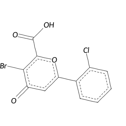 O=C(O)c1oc(-c2ccccc2Cl)cc(=O)c1Br